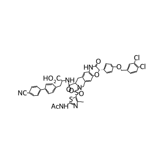 CC(=O)Nc1nc(C)c(S(=O)(=O)N2Cc3cc4c(cc3CC2C(=O)N[C@@H](Cc2ccc(-c3ccc(C#N)cc3)cc2)C(=O)O)NC(=O)[C@H](c2ccc(OCc3ccc(Cl)c(Cl)c3)cc2)O4)s1